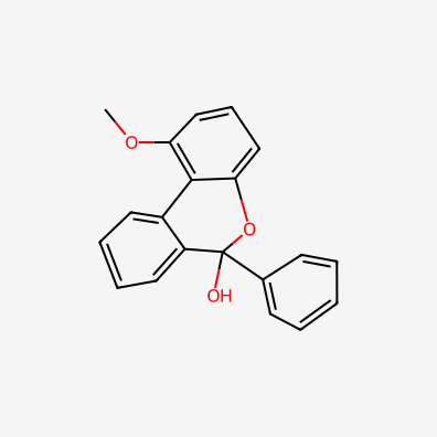 COc1cccc2c1-c1ccccc1C(O)(c1ccccc1)O2